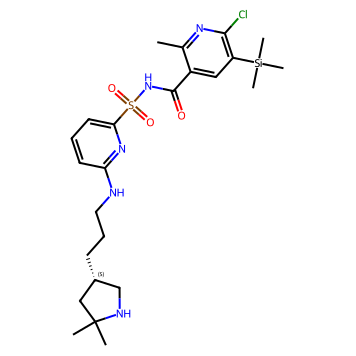 Cc1nc(Cl)c([Si](C)(C)C)cc1C(=O)NS(=O)(=O)c1cccc(NCCC[C@@H]2CNC(C)(C)C2)n1